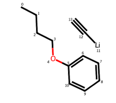 CCCCOc1ccccc1.[Li][C]#C